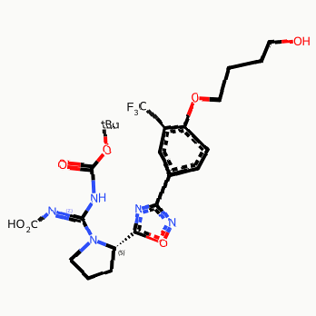 CC(C)(C)OC(=O)N/C(=N/C(=O)O)N1CCC[C@H]1c1nc(-c2ccc(OCCCCO)c(C(F)(F)F)c2)no1